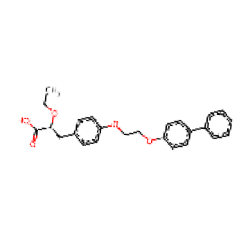 CCO[C@@H](Cc1ccc(OCCOc2ccc(-c3ccccc3)cc2)cc1)C(=O)O